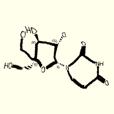 O=c1ccn([C@@H]2O[C@@](CO)(CCl)[C@@H](O)[C@@H]2Cl)c(=O)[nH]1